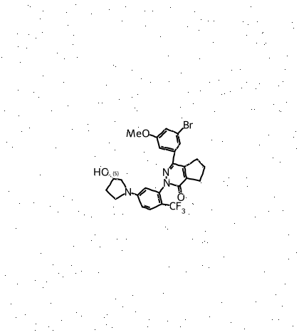 COc1cc(Br)cc(-c2nn(-c3cc(N4CC[C@H](O)C4)ccc3C(F)(F)F)c(=O)c3c2CCC3)c1